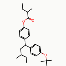 CCC(C)CC(c1ccc(OC(=O)C(C)CC)cc1)c1ccc(OC(C)(C)C)cc1